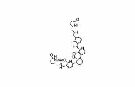 COc1nc(-c2cccc(-c3ccnc(Nc4cccc(CNC[C@@H]5CCC(=O)N5)c4F)c3Cl)c2Cl)ccc1CNC[C@@H]1CCC(=O)N1